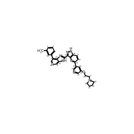 Cc1cccc(-c2cncc3[nH]c(-c4n[nH]c5ccc(-c6cncc(OCCN7CCCC7)c6)nc45)nc23)c1